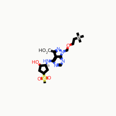 C[Si](C)(C)CCOCn1nc(C(=O)O)c2c(N[C@H]3CC(S(C)(=O)=O)CC3O)ncnc21